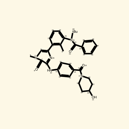 Cc1c(-c2cn(C)c(=O)c(Nc3ccc(C(=O)N4CCC(O)CC4)cc3)n2)cccc1N(C(=O)c1ccccc1)C(C)(C)C